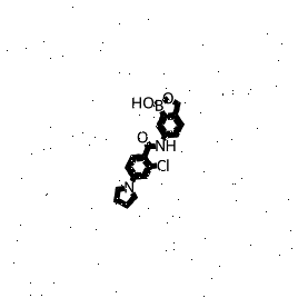 O=C(Nc1ccc2c(c1)B(O)OC2)c1ccc(N2CCCC2)cc1Cl